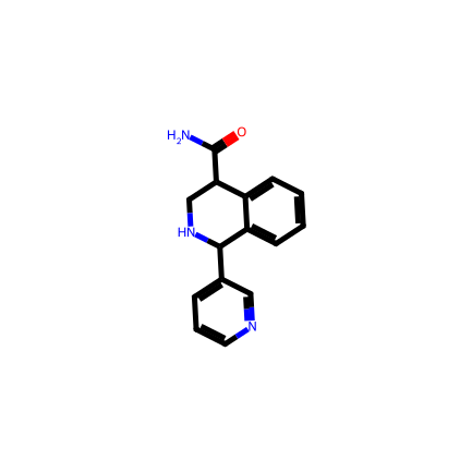 NC(=O)C1CNC(c2cccnc2)c2ccccc21